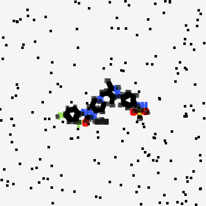 CCCCN(C(=O)Nc1ccc(F)cc1F)C1CCN(Cc2c(C)nn(-c3ccc(NS(C)(=O)=O)cc3)c2C)CC1